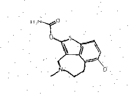 CN1CCc2c(Cl)ccc3sc(OC(N)=O)c(c23)C1